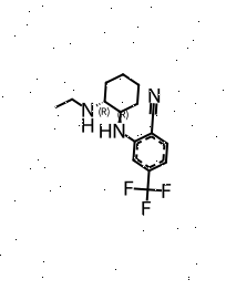 CCN[C@@H]1CCCC[C@H]1Nc1cc(C(F)(F)F)ccc1C#N